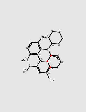 COc1ccc(OC)c(P(C2CCCCC2)C2CCCCC2)c1-c1c(CC(C)C)cc(C)cc1CC(C)C